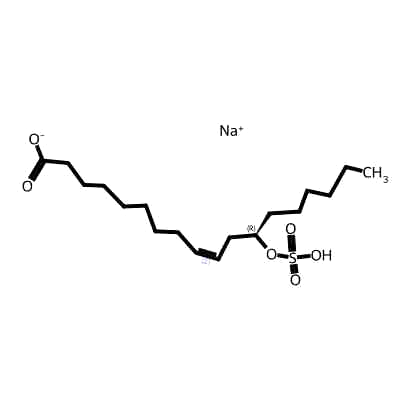 CCCCCC[C@H](C/C=C\CCCCCCCC(=O)[O-])OS(=O)(=O)O.[Na+]